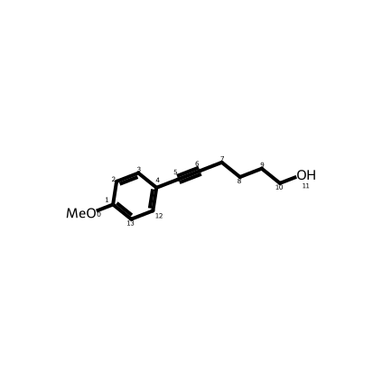 COc1ccc(C#CCCCCO)cc1